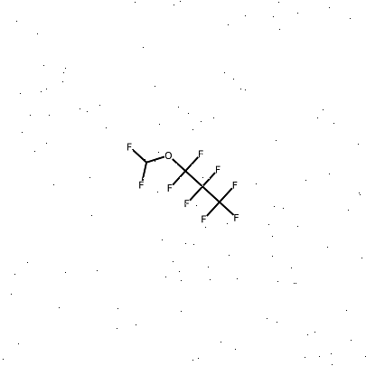 FC(F)OC(F)(F)C(F)(F)C(F)(F)F